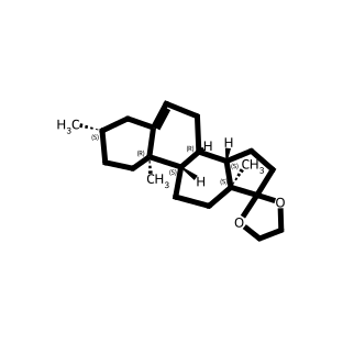 C[C@H]1CC[C@@]2(C)C(=CC[C@@H]3[C@@H]2CC[C@@]2(C)[C@H]3CCC23OCCO3)C1